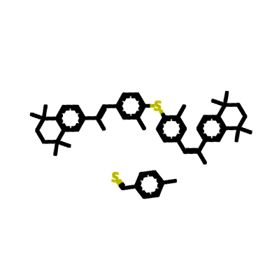 CC(=Cc1ccc(Sc2ccc(C=C(C)c3ccc4c(c3)C(C)(C)CCC4(C)C)cc2C)c(C)c1)c1ccc2c(c1)C(C)(C)CCC2(C)C.Cc1ccc(C=S)cc1